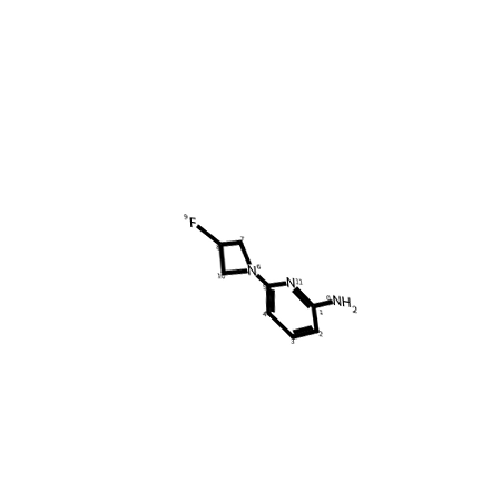 Nc1cccc(N2CC(F)C2)n1